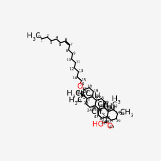 CCCCCC/C=C\CCCCCCCCO[C@H]1CC[C@@]2(C)C(CC[C@]3(C)[C@@H]2CC=C2[C@@H]4[C@@H](C)[C@H](C)CC[C@]4(C(=O)O)CC[C@]23C)C1(C)C